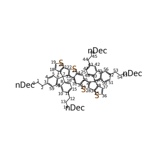 CCCCCCCCCCCCc1ccc(C2(c3ccc(CCCCCCCCCCCC)cc3)c3ccsc3-c3sc4cc5c6c(sc5cc4c32)-c2sccc2C6(c2ccc(CCCCCCCCCCCC)cc2)c2ccc(CCCCCCCCCCCC)cc2)cc1